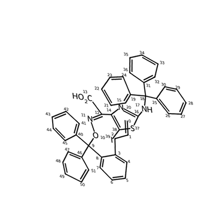 C=CCc1ccccc1C(ON=C(C(=O)O)c1nc(NC(c2ccccc2)(c2ccccc2)c2ccccc2)sc1I)(c1ccccc1)c1ccccc1